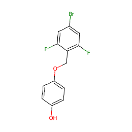 Oc1ccc(OCc2c(F)cc(Br)cc2F)cc1